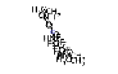 C=C(C)C(=O)NCc1ccc(/C=C/C(=O)Nc2c(F)c(F)c(-c3c(F)c(F)c(NC(=O)C(C)(C)C)c(F)c3F)c(F)c2F)cc1